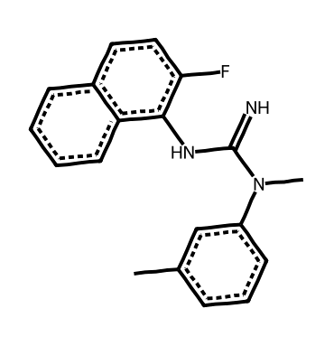 Cc1cccc(N(C)C(=N)Nc2c(F)ccc3ccccc23)c1